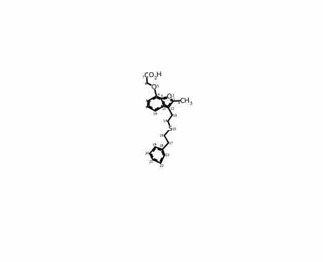 Cc1oc2c(OCC(=O)O)cccc2c1CCSCCc1ccccc1